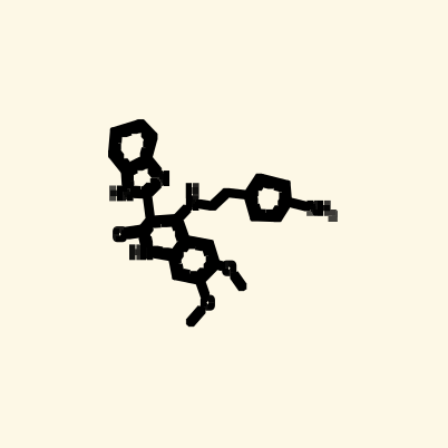 COc1cc2[nH]c(=O)c(-c3nc4ccccc4[nH]3)c(NCCc3ccc(N)cc3)c2cc1OC